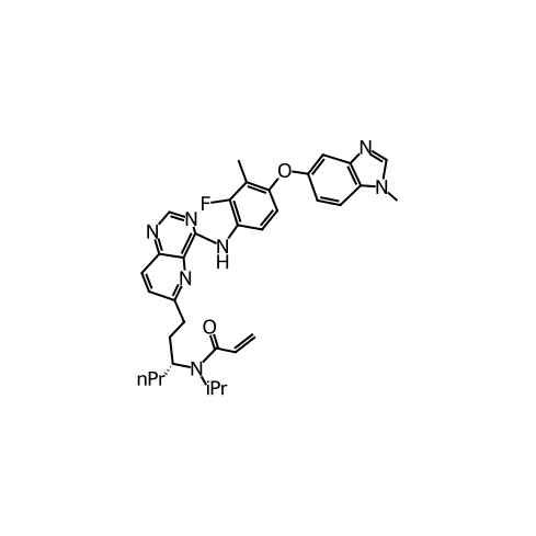 C=CC(=O)N(C(C)C)[C@H](CCC)CCc1ccc2ncnc(Nc3ccc(Oc4ccc5c(c4)ncn5C)c(C)c3F)c2n1